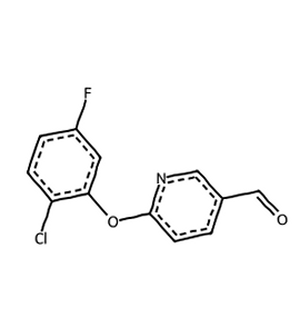 O=Cc1ccc(Oc2cc(F)ccc2Cl)nc1